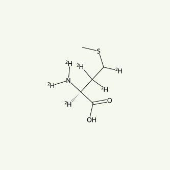 [2H]C(SC)C([2H])([2H])[C@@]([2H])(C(=O)O)N([2H])[2H]